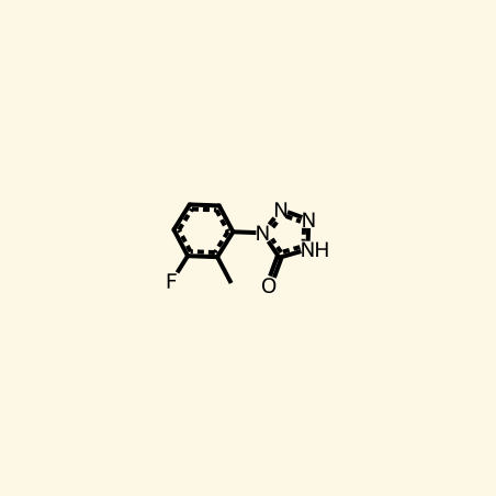 Cc1c(F)cccc1-n1nn[nH]c1=O